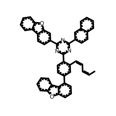 C/C=C\C=C/c1cc(-c2cccc3oc4ccccc4c23)ccc1-c1nc(-c2ccc3ccccc3c2)nc(-c2ccc3c(c2)oc2ccccc23)n1